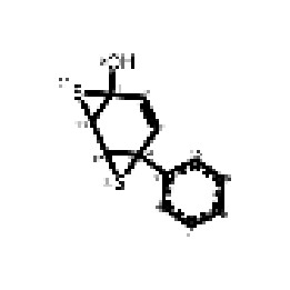 OC12C=CC3(c4ccccc4)SC3C1S2